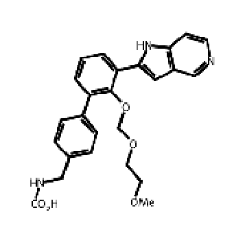 COCCOCOc1c(-c2ccc(CNC(=O)O)cc2)cccc1-c1cc2cnccc2[nH]1